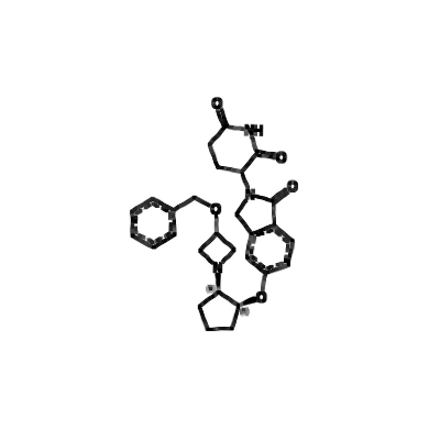 O=C1CCC(N2Cc3cc(O[C@H]4CCC[C@H]4N4CC(OCc5ccccc5)C4)ccc3C2=O)C(=O)N1